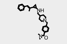 C/C(=C\c1ccccc1)C1CC1NCC1CCN(Cc2ccc(C(=O)N(C)C)cc2)CC1